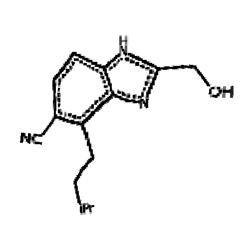 CC(C)CCc1c(C#N)ccc2[nH]c(CO)nc12